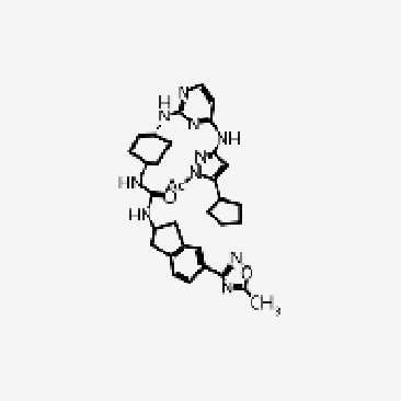 CC(=O)n1nc(Nc2ccnc(N[C@H]3CC[C@H](NC(=O)NC4Cc5ccc(-c6noc(C)n6)cc5C4)CC3)n2)cc1C1CCCC1